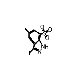 Cc1cc(S(=O)(=O)Cl)c2[nH]nc(I)c2c1